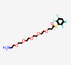 NCCOCCOCCOCCOCCOCCC(=O)Sc1c(F)c(F)cc(F)c1F